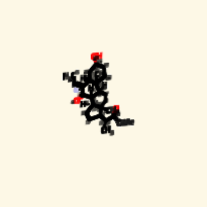 C/C=C1/C(=O)[C@@H]2[C@H](CC[C@]3(C)C([C@H](C)C(=O)OC)CC[C@@H]23)[C@@]2(C)CC[C@@H](O)C[C@@H]12